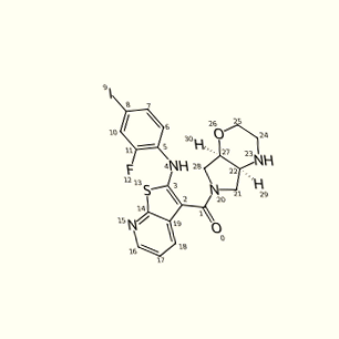 O=C(c1c(Nc2ccc(I)cc2F)sc2ncccc12)N1C[C@@H]2NCCO[C@@H]2C1